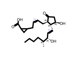 CCCC[C@@H](C)[C@@H](O)/C=C/[C@H]1[C@H](O)CC(=O)[C@@H]1C/C=C\CC1CC1C(=O)O